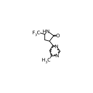 Cc1cc(C2CC(C(F)(F)F)NC2=O)ncn1